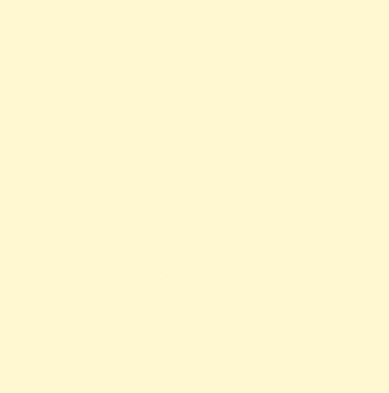 CCC(CC(COc1ccc(C(=O)C=Cc2ccccc2)cc1)OC)OC